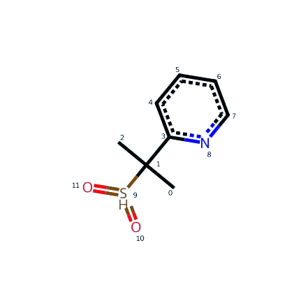 CC(C)(c1[c]cccn1)[SH](=O)=O